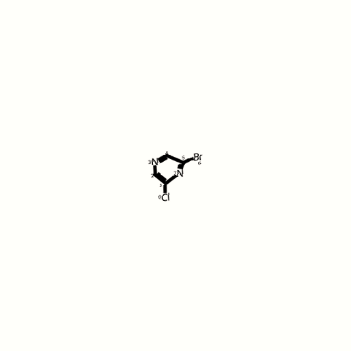 Clc1cn[c]c(Br)n1